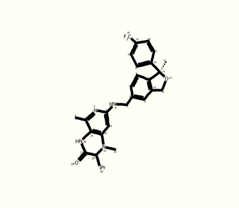 Cc1nc(NCc2ccc3c(c2)CO[C@]3(C)c2ccc(C(F)(F)F)cc2)cc2c1NC(=O)C(C(C)C)N2C